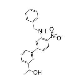 CC(O)c1cccc(-c2ccc([N+](=O)[O-])c(NCc3ccccc3)c2)c1